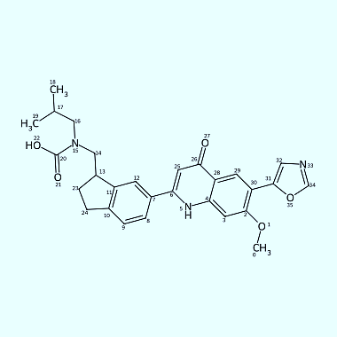 COc1cc2[nH]c(-c3ccc4c(c3)C(CN(CC(C)C)C(=O)O)CC4)cc(=O)c2cc1-c1cnco1